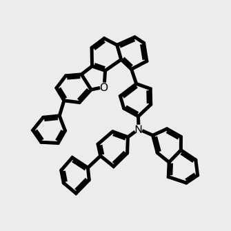 c1ccc(-c2ccc(N(c3ccc(-c4cccc5ccc6c7ccc(-c8ccccc8)cc7oc6c45)cc3)c3ccc4ccccc4c3)cc2)cc1